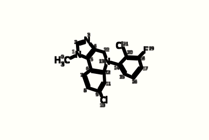 Cn1cnc2c1-c1ccc(Cl)cc1N(c1cccc(F)c1Cl)C2